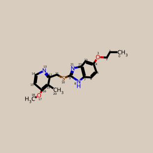 CCCOc1ccc2[nH]c(SCc3nccc(OC)c3C)nc2c1